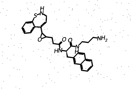 NCCCNC(=O)[C@@H](Cc1ccc2ccccc2c1)NC(=O)CCC1OC1C1=CCNSc2ccccc21